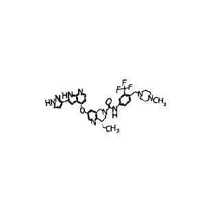 CC[C@H]1CN(C(=O)Nc2ccc(CN3CCN(C)CC3)c(C(F)(F)F)c2)Cc2cc(Oc3ccnc4[nH]c(-c5cc[nH]n5)cc34)cnc21